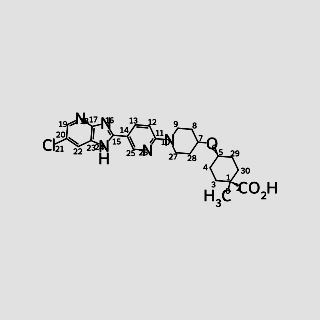 C[C@]1(C(=O)O)CC[C@@H](OC2CCN(c3ccc(-c4nc5ncc(Cl)cc5[nH]4)cn3)CC2)CC1